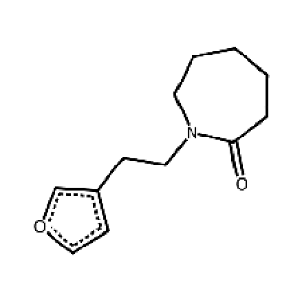 O=C1CCCCCN1CCc1ccoc1